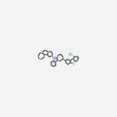 Brc1cccc2sc3ccc(C4=Cc5c(n(-c6ccc7ccc8c(c7c6)C=CCC=C8)c6ccccc56)C=C=C4)cc3c12